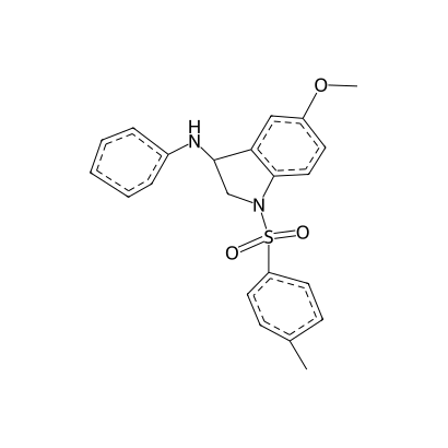 COc1ccc2c(c1)C(Nc1ccccc1)CN2S(=O)(=O)c1ccc(C)cc1